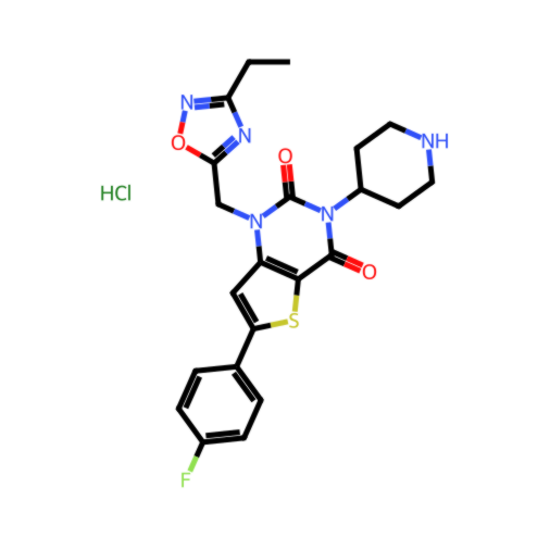 CCc1noc(Cn2c(=O)n(C3CCNCC3)c(=O)c3sc(-c4ccc(F)cc4)cc32)n1.Cl